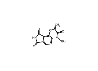 C=C(Oc1cccc2c1C(=O)NC2=O)C(=O)OC(C)(C)C